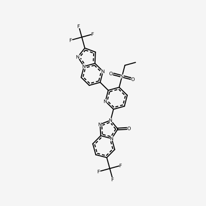 CCS(=O)(=O)c1ccc(-n2nc3ccc(C(F)(F)F)cn3c2=O)nc1-c1ccn2nc(C(F)(F)F)cc2n1